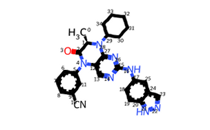 C[C@@H]1C(=O)N(c2cccc(C#N)c2)c2cnc(Nc3ccc4[nH]ncc4c3)nc2N1C1CCCCC1